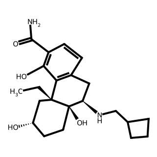 CC[C@]12C[C@@H](O)CC[C@@]1(O)[C@H](NCC1CCC1)Cc1ccc(C(N)=O)c(O)c12